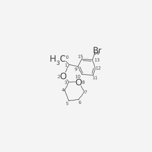 CC(OC1CCCCO1)c1cccc(Br)c1